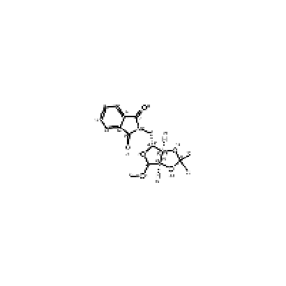 COC1O[C@H](CN2C(=O)c3ccccc3C2=O)[C@H]2OC(C)(C)O[C@@H]12